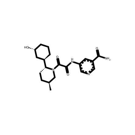 C[C@H]1CC[C@H]([C@@H]2CCC[C@@H](O)C2)N(C(=O)C(=O)Nc2cncc(C(N)=O)c2)C1